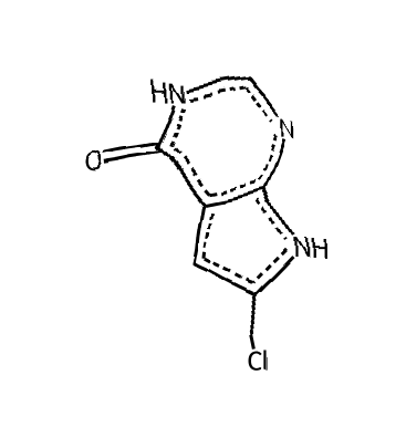 O=c1[nH]cnc2[nH]c(Cl)cc12